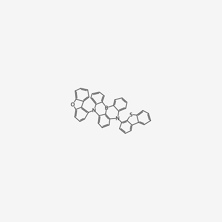 c1ccc2c(c1)B1c3ccccc3N(c3cccc4oc5ccccc5c34)c3cccc(c31)N2c1cccc2c1sc1ccccc12